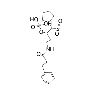 CS(=O)(=O)C(C1CCCC1)C(CCNC(=O)CCc1ccccc1)OP(=O)(O)O